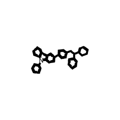 C1=CCCC(C(Cc2ccc(-c3ccc4c(c3)c3ccccc3n4-c3ccccc3)cc2)c2ccccc2)=C1